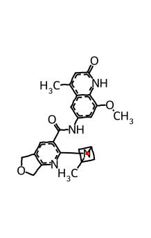 COc1cc(NC(=O)c2cc3c(nc2N2CC4CC2(C)C4)COC3)cc2c(C)cc(=O)[nH]c12